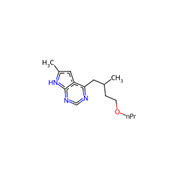 CCCOCCC(C)Cc1ncnc2[nH]c(C)cc12